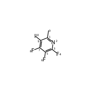 Cc1nc(F)c(F)c(F)c1I